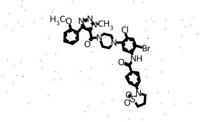 COc1ccccc1-c1nnn(C)c1C(=O)N1CCN(c2cc(NC(=O)c3ccc(N4CCCS4(=O)=O)cc3)c(Br)cc2Cl)CC1